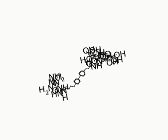 N=C(NCCCCc1ccc(-c2ccc(CCC(=O)NCCN(C[C@H](O)[C@@H](O)[C@H](O)[C@H](O)CO)C(=O)[C@@H](O)[C@H](O)[C@H](O)[C@H](O)CO)cc2)cc1)NC(=O)c1nc(Cl)c(N)nc1N